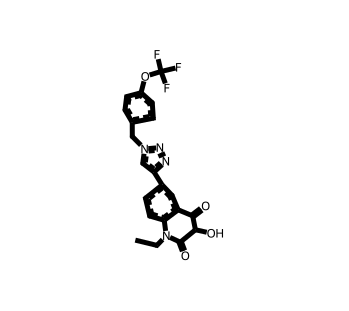 CCN1C(=O)C(O)C(=O)c2cc(-c3cn(Cc4ccc(OC(F)(F)F)cc4)nn3)ccc21